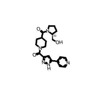 O=C(c1cc(-c2ccncc2)[nH]n1)N1CCC(C(=O)N2CCC[C@H]2CO)CC1